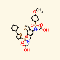 COc1ccc(S(=O)(=O)N(CC(=O)O)c2cc(CN(CC(=O)O)S(=O)(=O)c3ccc(-c4ccccc4)s3)cc3sccc23)cc1